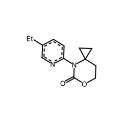 CCc1ccc(N2C(=O)OCCC23CC3)nc1